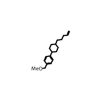 C=CCCCC1CCC(c2ccc(COC)cc2)CC1